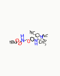 CC(=O)N1c2ccc(C#N)cc2[C@H](Nc2cccc(OCCNC(=O)OC(C)(C)C)c2)[C@@H](C)[C@@H]1C1CC1